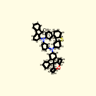 CC1(C)c2ccccc2-c2cccc(N(c3ccccc3)c3cccc(N(c4ccc5c(c4)-c4ccccc4C54c5ccccc5Oc5ccccc54)c4ccc5sc6ccccc6c5c4)c3)c21